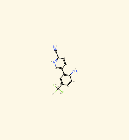 N#Cc1ccc(-c2cc(C(F)(F)F)ccc2N)cn1